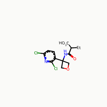 CCC(C(=O)O)C(=O)NC1(c2ccc(Cl)nc2Cl)COC1